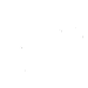 C=C(C)Cn1cc(SCCN=C2CCCN2C)c2ccccc21